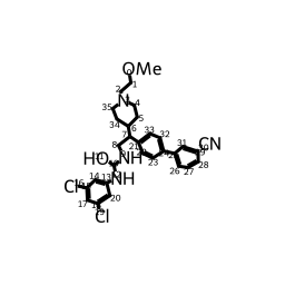 COCCN1CCC(C(CNC(O)Nc2cc(Cl)cc(Cl)c2)c2ccc(-c3cccc(C#N)c3)cc2)CC1